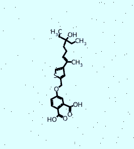 CCC(O)(CC)CCC=C(C)c1csc(COc2ccc(C(=O)O)c(C(=O)O)c2)c1